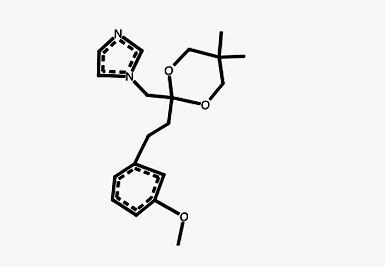 COc1cccc(CCC2(Cn3ccnc3)OCC(C)(C)CO2)c1